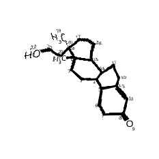 CC12CCC3C4CCC(=O)C=C4CCC3C1CC[C@]2(C)CCO